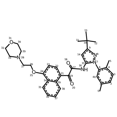 Cc1ccc(C)c(-n2nc(C(C)(C)C)cc2NC(=O)C(=O)c2ccc(OCCN3CCOCC3)c3ccccc23)c1